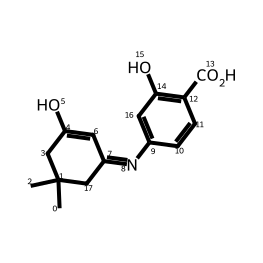 CC1(C)CC(O)=C/C(=N\c2ccc(C(=O)O)c(O)c2)C1